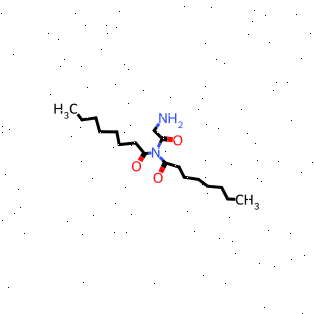 CCCCCCCC(=O)N(C(=O)CN)C(=O)CCCCCCC